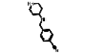 N#Cc1ccc(CNC2CCNCC2)cc1